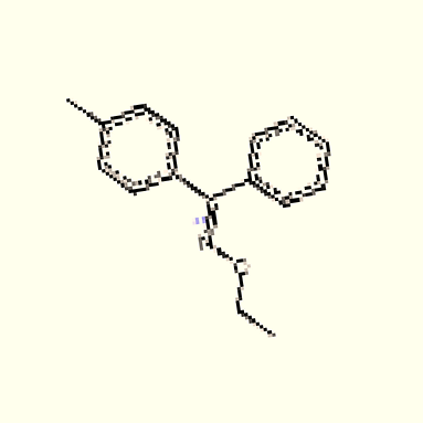 CCO/N=C(\c1ccccc1)c1ccc(C)cc1